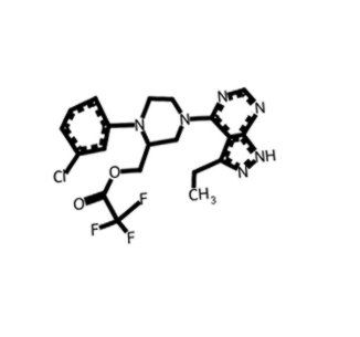 CCc1n[nH]c2ncnc(N3CCN(c4cccc(Cl)c4)C(COC(=O)C(F)(F)F)C3)c12